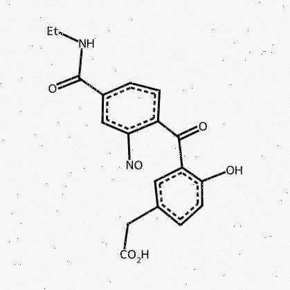 CCNC(=O)c1ccc(C(=O)c2cc(CC(=O)O)ccc2O)c(N=O)c1